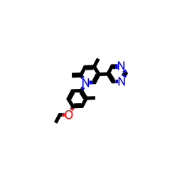 C=C1C=C(C)C(c2cncnc2)=CN1c1ccc(OCC)cc1C